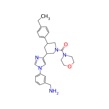 CCc1ccc(C2CC(c3cn(-c4cccc(CN)c4)cn3)CN(C(=O)N3CCOCC3)C2)cc1